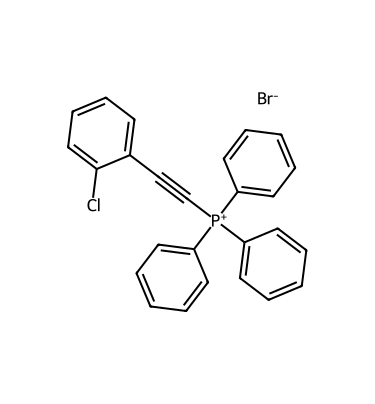 Clc1ccccc1C#C[P+](c1ccccc1)(c1ccccc1)c1ccccc1.[Br-]